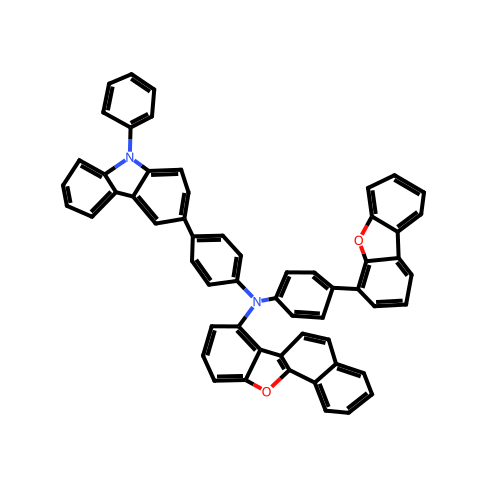 c1ccc(-n2c3ccccc3c3cc(-c4ccc(N(c5ccc(-c6cccc7c6oc6ccccc67)cc5)c5cccc6oc7c8ccccc8ccc7c56)cc4)ccc32)cc1